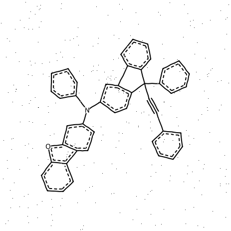 C(#CC1(c2ccccc2)c2ccccc2-c2cc(N(c3ccccc3)c3ccc4c(c3)oc3ccccc34)ccc21)c1ccccc1